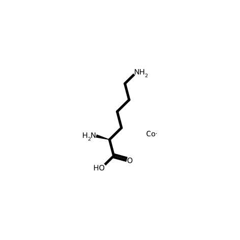 NCCCC[C@H](N)C(=O)O.[Co]